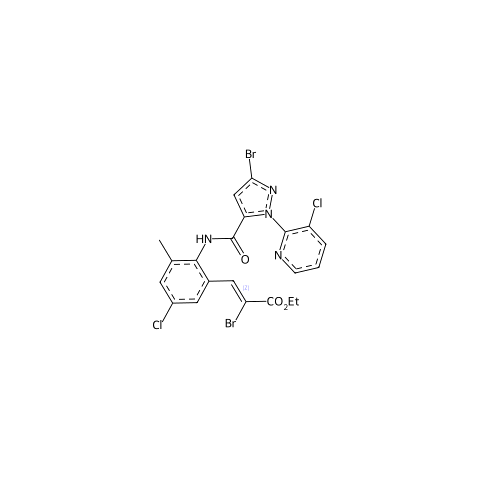 CCOC(=O)/C(Br)=C/c1cc(Cl)cc(C)c1NC(=O)c1cc(Br)nn1-c1ncccc1Cl